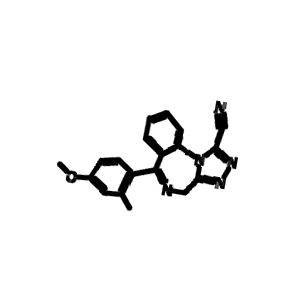 COc1ccc(C2=NCc3nnc(C#N)n3-c3ccccc32)c(C)c1